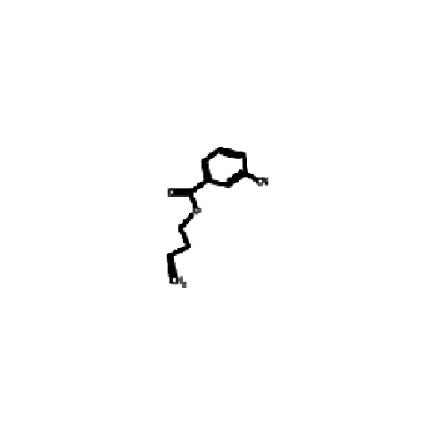 C=CCCOC(=O)c1cccc(C#N)c1